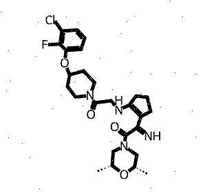 C[C@@H]1CN(C(=O)C(=N)C2=C(NCC(=O)N3CCC(Oc4cccc(Cl)c4F)CC3)CCC2)C[C@H](C)O1